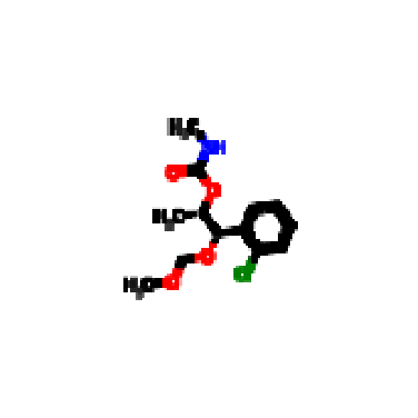 CNC(=O)O[C@@H](C)[C@@H](OCOC)c1ccccc1Cl